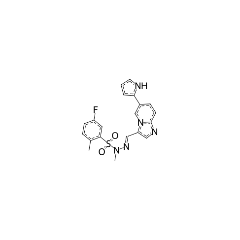 Cc1ccc(F)cc1S(=O)(=O)N(C)N=Cc1cnc2ccc(-c3ccc[nH]3)cn12